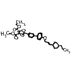 CCCC1CCC(C=CCOc2ccc(-c3ccc(C4O[C@@H](C(=O)OCC)[C@H](C(=O)OCC)O4)cc3)cc2)CC1